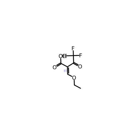 CCO/C=C(/C(=O)O)C(=O)C(F)(F)Cl